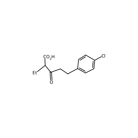 CCC(C(=O)O)C(=O)CCc1ccc(Cl)cc1